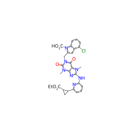 CCOC(=O)C1CC1c1cccc(Nc2nc3c(c(=O)n(Cc4cc5c(Cl)cccc5n4C(=O)O)c(=O)n3C)n2C)n1